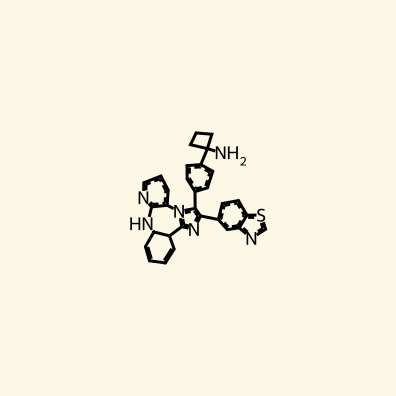 NC1(c2ccc(-c3c(-c4ccc5scnc5c4)nc4n3-c3cccnc3NC3C=CC=CC43)cc2)CCC1